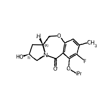 Cc1cc2c(c(OC(C)C)c1F)C(=O)N1C[C@@H](O)C[C@@H]1CO2